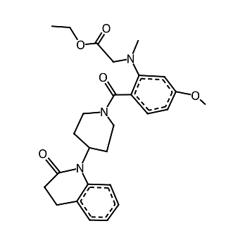 CCOC(=O)CN(C)c1cc(OC)ccc1C(=O)N1CCC(N2C(=O)CCc3ccccc32)CC1